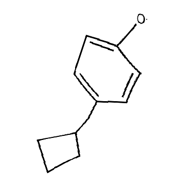 [O]c1ccc(C2CCC2)cc1